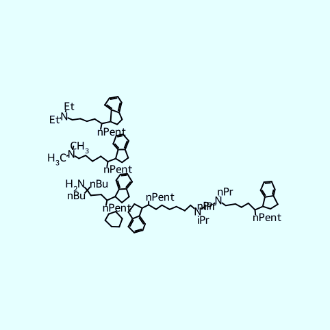 C1CCCCC1.CCCCCC(CCC(N)(CCCC)CCCC)C1CCc2ccccc21.CCCCCC(CCCCCCN(C(C)C)C(C)C)C1CCc2ccccc21.CCCCCC(CCCCN(C)C)C1CCc2ccccc21.CCCCCC(CCCCN(CC)CC)C1CCc2ccccc21.CCCCCC(CCCCN(CCC)CCC)C1CCc2ccccc21